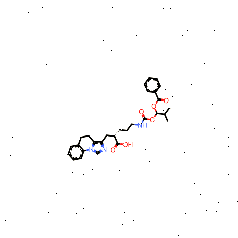 CC(C)C(OC(=O)NCCC[C@@H](Cc1ncn2c1CCc1ccccc1-2)C(=O)O)OC(=O)c1ccccc1